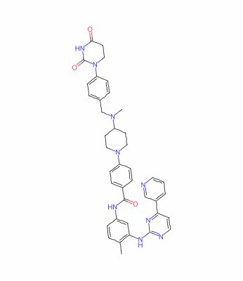 Cc1ccc(NC(=O)c2ccc(N3CCC(N(C)Cc4ccc(N5CCC(=O)NC5=O)cc4)CC3)cc2)cc1Nc1nccc(-c2cccnc2)n1